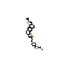 Cc1ccc(CCc2cc3ccc4cc5c(ccc6cc(C7CC7)sc65)cc4c3s2)cc1